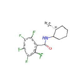 C[C@@H]1CCCCC1NC(=O)c1c(F)c(F)c(F)c(F)c1F